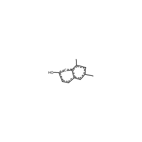 Cc1cc(C)c2cc(O)ccc2c1